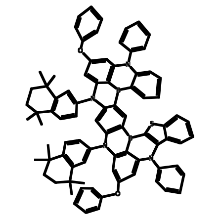 CC1(C)CCC(C)(C)c2cc(N3c4cc5c(cc4B4c6ccccc6N(c6ccccc6)c6cc(Oc7ccccc7)cc3c64)B3c4sc6ccccc6c4N(c4ccccc4)c4cc(Oc6ccccc6)cc(c43)N5c3ccc4c(c3)C(C)(C)CCC4(C)C)ccc21